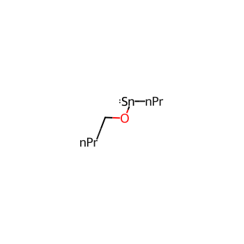 CCCC[O][Sn][CH2]CC